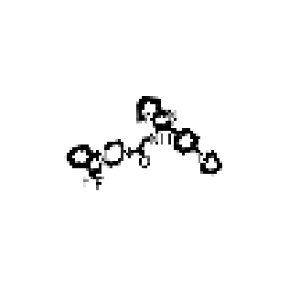 O=C(CNc1c(-c2ccc(N3CCCC3)cc2)nc2ccccn12)N1CCN(c2ccccc2C(F)(F)F)CC1